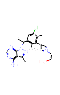 COc1c(C(C)n2nc(C)c3c(N)ncnc32)cc(Cl)c(C)c1C1CN(C[C@H](C)O)C1